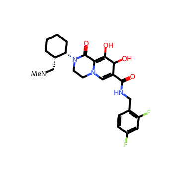 CNC[C@@H]1CCCC[C@@H]1N1CCN2C=C(C(=O)NCc3ccc(F)cc3F)C(O)C(O)=C2C1=O